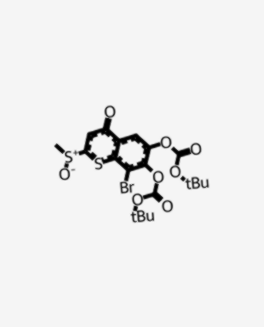 C[S+]([O-])c1cc(=O)c2cc(OC(=O)OC(C)(C)C)c(OC(=O)OC(C)(C)C)c(Br)c2s1